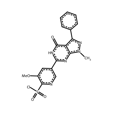 COc1cc(-c2nc3c(c(-c4ccccc4)nn3C)c(=O)[nH]2)cnc1S(=O)(=O)Cl